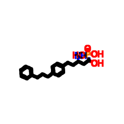 N[C@H](CCc1ccc(CCCc2ccccc2)cc1)CC(O)P(=O)(O)O